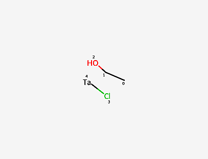 CCO.[Cl][Ta]